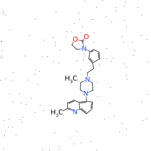 Cc1ccc2c(N3CCN(CCc4cccc(N5CCOC5=O)c4)[C@@H](C)C3)cccc2n1